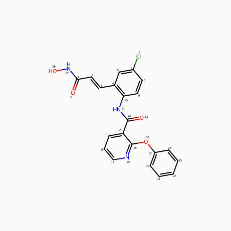 O=C(C=Cc1cc(Cl)ccc1NC(=O)c1cccnc1Oc1ccccc1)NO